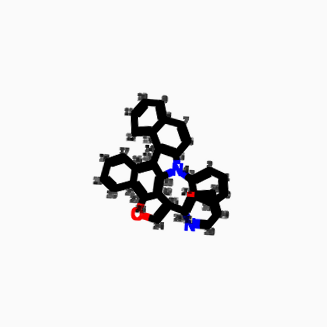 c1ccc(-n2c3ccc4ccccc4c3c3c4ccccc4c4occ(-c5ccccn5)c4c32)cc1